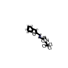 ClC(Cl)(Cl)c1nnc(/C=C/c2cc3ccccc3o2)o1